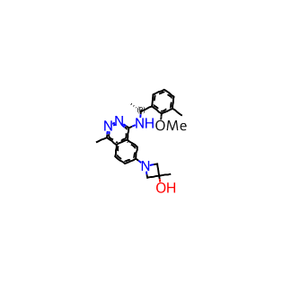 COc1c(C)cccc1[C@@H](C)Nc1nnc(C)c2ccc(N3CC(C)(O)C3)cc12